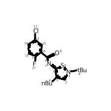 CCCCc1cn(C(C)(C)C)s/c1=N\C(=O)c1cc(Cl)ccc1F